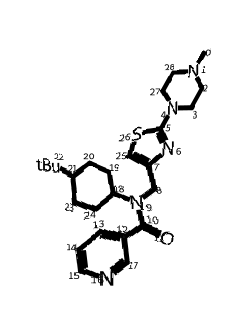 CN1CCN(c2nc(CN(C(=O)c3cccnc3)C3CCC(C(C)(C)C)CC3)cs2)CC1